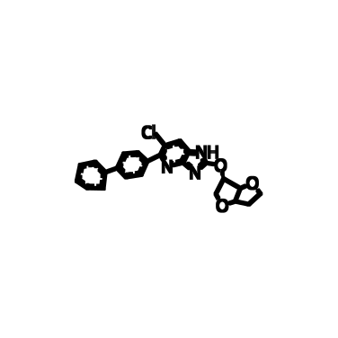 Clc1cc2[nH]c(O[C@@H]3COC4CCOC43)nc2nc1-c1ccc(-c2ccccc2)cc1